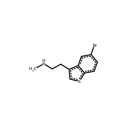 CNCCc1csc2ccc(Br)cc12